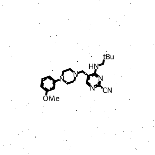 COc1cccc(N2CCN(Cc3cnc(C#N)nc3NCC(C)(C)C)CC2)c1